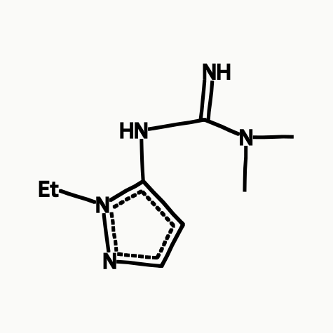 CCn1nccc1NC(=N)N(C)C